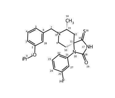 CC(C)Oc1cccc(CN2CC[C@]3(C[C@H]2C)C(=S)NC(=O)N3c2cccc(F)c2)c1